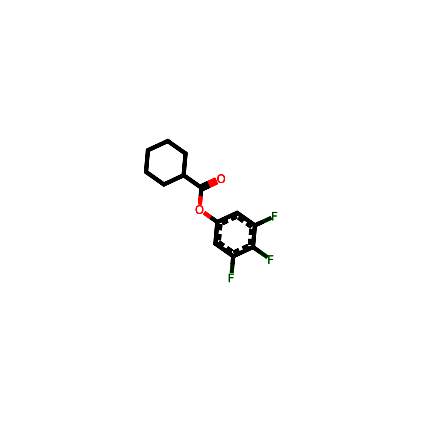 O=C(Oc1cc(F)c(F)c(F)c1)C1CCCCC1